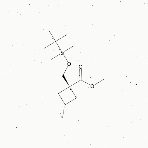 COC(=O)[C@]1(CO[Si](C)(C)C(C)(C)C)C[C@H](C)C1